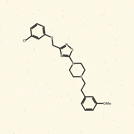 COc1cccc(CCN2CCN(c3nc(COc4cccc(Cl)c4)ns3)CC2)c1